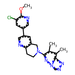 COc1ncc(-c2cnc3c(c2)CN(c2nn4cnnc4c(C)c2C)CC3)cc1Cl